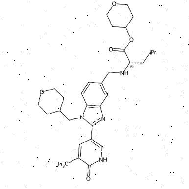 Cc1cc(-c2nc3cc(CN[C@@H](CC(C)C)C(=O)OC4CCOCC4)ccc3n2CC2CCOCC2)c[nH]c1=O